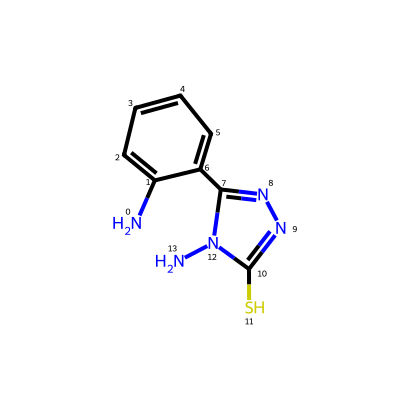 Nc1ccccc1-c1nnc(S)n1N